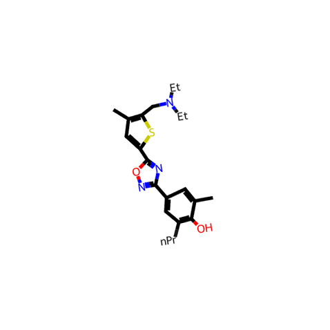 CCCc1cc(-c2noc(-c3cc(C)c(CN(CC)CC)s3)n2)cc(C)c1O